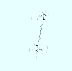 CC(C)N(C(=S)SCCCCCCCCSC(=S)N(C(C)C)C(C)C)C(C)C